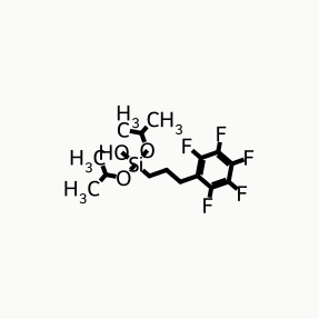 CC(C)O[Si](O)(CCCc1c(F)c(F)c(F)c(F)c1F)OC(C)C